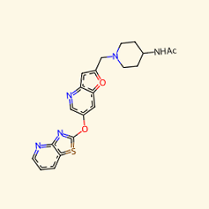 CC(=O)NC1CCN(Cc2cc3ncc(Oc4nc5ncccc5s4)cc3o2)CC1